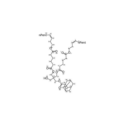 CCCCC/C=C\CCOC(=O)CCCCC(=O)OCC(CO)(COC(=O)CCCCC(=O)OCC/C=C\CCCCC)COC(=O)C12CC3CC(CC(C3)C1)C2